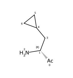 CC(=O)[C@H](N)CC1CC1